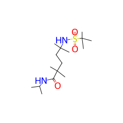 CC(C)NC(=O)C(C)(C)CCC(C)(C)NS(=O)(=O)C(C)(C)C